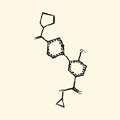 Cc1ccc(C(=O)NC2CC2)cc1-c1ccc(C(=O)C2CCCC2)cc1